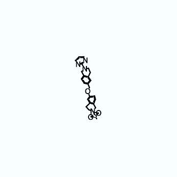 CS(=O)(=O)N1CCc2cc(OCc3ccc4c(c3)CCN(c3ncccn3)C4)ccc2C1